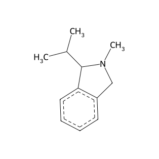 CC(C)C1c2ccccc2CN1C